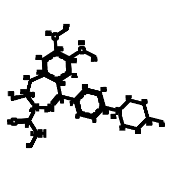 CNC(=O)N1N=C(c2ccc(N3CCC(C)CC3)cc2)c2cc(OC)c(OC)cc2C[C@@H]1C